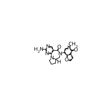 Cn1cc(N2C[C@@H]3CCCN3c3nc(N)ncc3C2=O)c2occc2c1=O